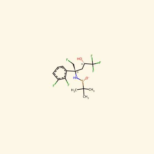 CC(C)(C)[S+]([O-])N[C@@](CF)(C[C@H](O)C(F)(F)F)c1cccc(F)c1F